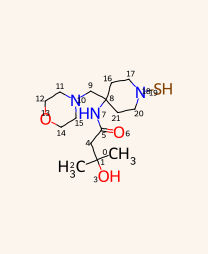 CC(C)(O)CC(=O)NC1(CN2CCOCC2)CCN(S)CC1